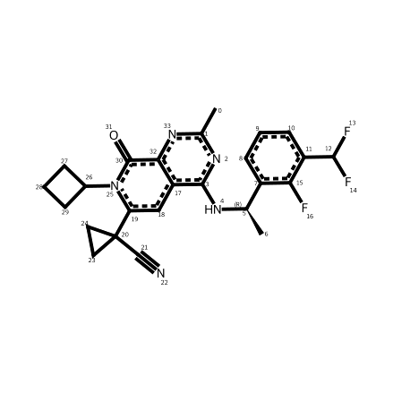 Cc1nc(N[C@H](C)c2cccc(C(F)F)c2F)c2cc(C3(C#N)CC3)n(C3CCC3)c(=O)c2n1